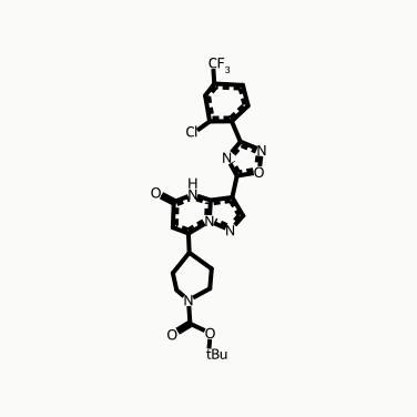 CC(C)(C)OC(=O)N1CCC(c2cc(=O)[nH]c3c(-c4nc(-c5ccc(C(F)(F)F)cc5Cl)no4)cnn23)CC1